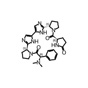 CN(C)[C@@H](C(=O)N1CCC[C@H]1c1ncc(-c2cnc([C@@H]3CCCN3C(=O)[C@H]3CCC(=O)N3)[nH]2)[nH]1)c1ccccc1